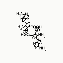 Nc1ncnc2c1ncn2C1OC2COP(=O)(O)OC3C(COP(=O)(O)OC2C1N)OC(n1cnc2c(N)ncnc21)C3N